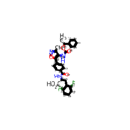 Cc1noc(-c2ccc(C(=O)NC(Cc3c(F)cccc3F)C(=O)O)cc2)c1NC(=O)OC(C)c1ccccc1